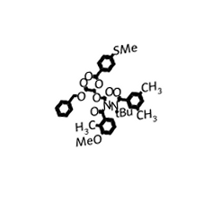 COc1cccc(C(=O)N(C(=O)OC(OC(=O)c2ccc(SC)cc2)C(=O)OCc2ccccc2)N(C(=O)c2cc(C)cc(C)c2)C(C)(C)C)c1C